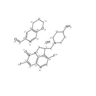 NC1CCN(C[C@]2(O)Cn3c(=O)c(F)cc4ncc(F)c2c43)CC1.O=Cc1cc2c(cn1)OCCC2